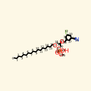 CCCCCCCCCCCCCCCCCOC[C@H](COP(=O)(O)OC)OCc1cc(F)cc(C#N)c1